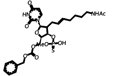 COP(O)(=S)O[C@@H]1C(C/C=C/CCCCNC(C)=O)[C@H](n2ccc(=O)[nH]c2=O)O[C@@H]1COC(=O)OCc1ccccc1